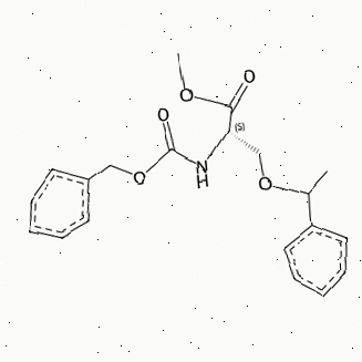 COC(=O)[C@H](COC(C)c1ccccc1)NC(=O)OCc1ccccc1